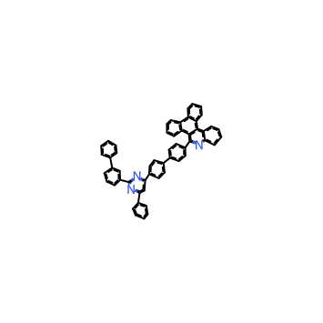 c1ccc(-c2cccc(-c3nc(-c4ccccc4)cc(-c4ccc(-c5ccc(-c6nc7ccccc7c7c8ccccc8c8ccccc8c67)cc5)cc4)n3)c2)cc1